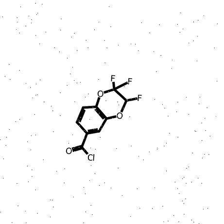 O=C(Cl)c1ccc2c(c1)OC(F)C(F)(F)O2